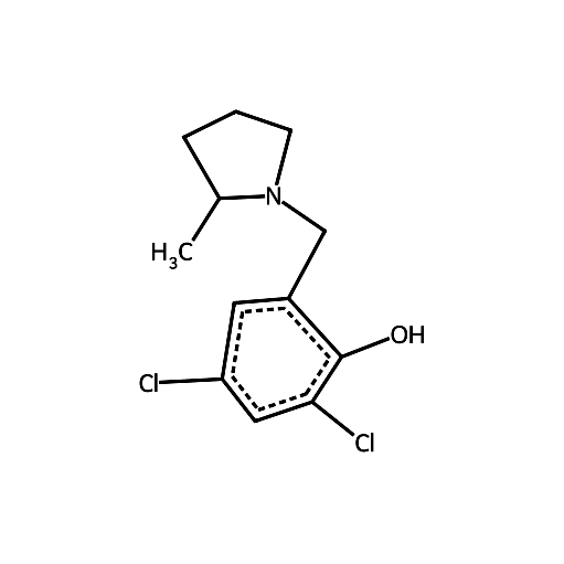 CC1CCCN1Cc1cc(Cl)cc(Cl)c1O